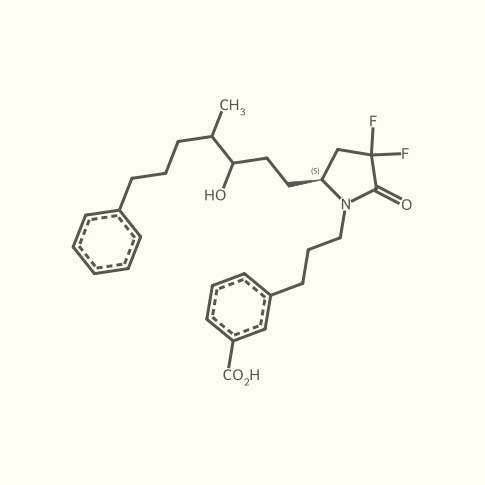 CC(CCCc1ccccc1)C(O)CC[C@H]1CC(F)(F)C(=O)N1CCCc1cccc(C(=O)O)c1